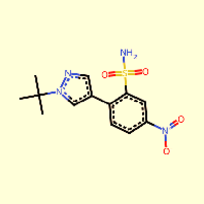 CC(C)(C)n1cc(-c2ccc([N+](=O)[O-])cc2S(N)(=O)=O)cn1